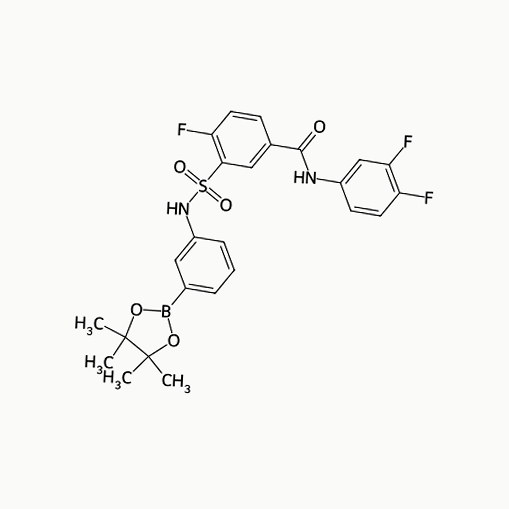 CC1(C)OB(c2cccc(NS(=O)(=O)c3cc(C(=O)Nc4ccc(F)c(F)c4)ccc3F)c2)OC1(C)C